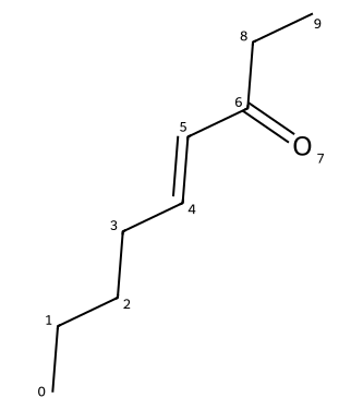 CCCCC=CC(=O)CC